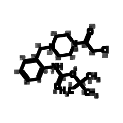 CC(C)(C)OC(=O)Nc1ccccc1CN1CCN(C(=O)CCl)CC1